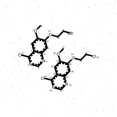 COc1cc2c(Cl)ncnc2cc1OCCBr.COc1cc2c(Cl)ncnc2cc1OCCCl